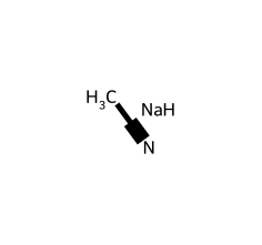 CC#N.[NaH]